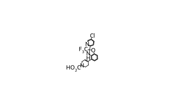 O=C(O)N1CC=C(c2cccc3c2NC(c2ccc(Cl)cn2)(C(F)(F)F)O3)CC1